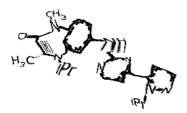 CC(C)N1c2cc(Nc3nccc(-c4ccnn4C(C)C)n3)ccc2N(C)C(=O)[C@H]1C